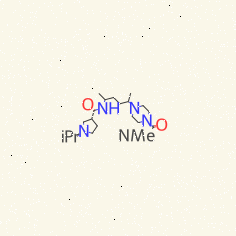 CNC(=O)N1CCN(C(C)CCC(C)NC(=O)C2CCN(C(C)C)C2)CC1